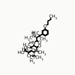 CCCCOc1cccc(C(C)(C)[C@H](NC)C(=O)NC(C(=O)N(C)[C@H](/C=C(\C)C(=O)O)C(C)C)C(C)(C)C)c1